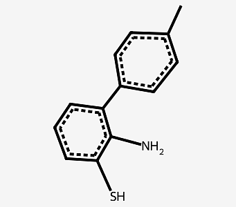 Cc1ccc(-c2cccc(S)c2N)cc1